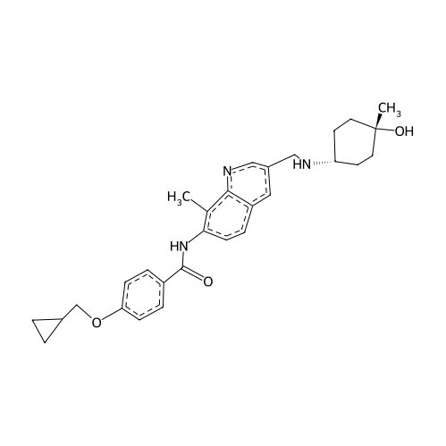 Cc1c(NC(=O)c2ccc(OCC3CC3)cc2)ccc2cc(CN[C@H]3CC[C@@](C)(O)CC3)cnc12